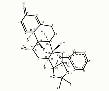 CC1(C)O[C@@H]2C[C@H]3[C@@H]4CCC5=CC(=O)C=C[C@]5(C)[C@@]4(F)[C@@H](O)C[C@]3(C)[C@]2(Sc2ccccn2)O1